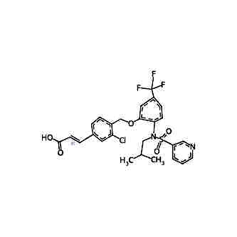 CC(C)CN(c1ccc(C(F)(F)F)cc1OCc1ccc(/C=C/C(=O)O)cc1Cl)S(=O)(=O)c1cccnc1